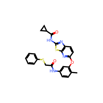 Cc1ccc(NC(=O)CSc2ccccc2)cc1Oc1ccc2nc(NC(=O)C3CC3)sc2n1